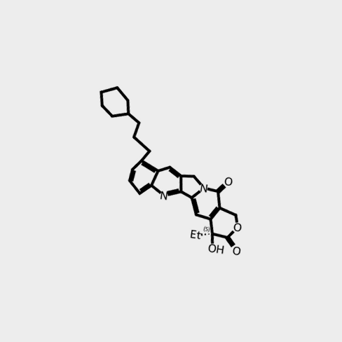 CC[C@@]1(O)C(=O)OCc2c1cc1n(c2=O)Cc2cc3c(CCCC4CCCCC4)cccc3nc2-1